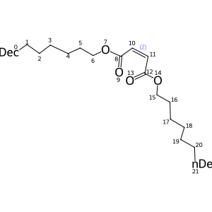 CCCCCCCCCCCCCCCCOC(=O)/C=C\C(=O)OCCCCCCCCCCCCCCCC